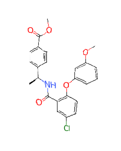 COC(=O)c1ccc([C@H](C)NC(=O)c2cc(Cl)ccc2Oc2cccc(OC)c2)cc1